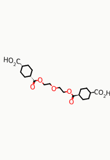 O=C(O)[C@H]1CC[C@@H](C(=O)OCCOCCOC(=O)[C@H]2CC[C@@H](C(=O)O)CC2)CC1